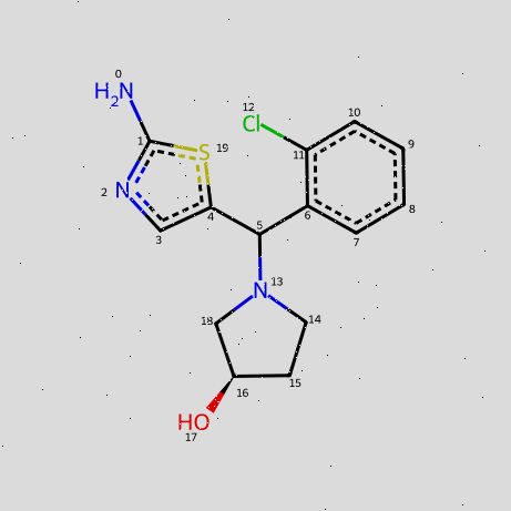 Nc1ncc(C(c2ccccc2Cl)N2CC[C@@H](O)C2)s1